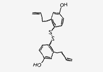 C=CCc1cc(O)ccc1SSc1ccc(O)cc1CC=C